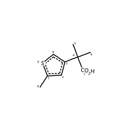 Cc1cc(C(C)(C)C(=O)O)cs1